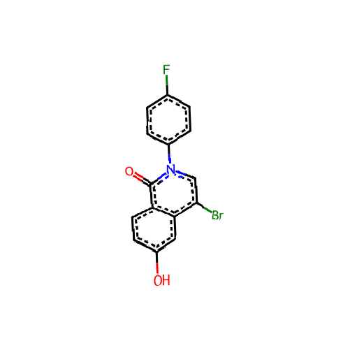 O=c1c2ccc(O)cc2c(Br)cn1-c1ccc(F)cc1